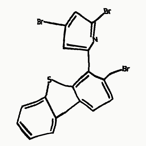 Brc1cc(Br)nc(-c2c(Br)ccc3c2sc2ccccc23)c1